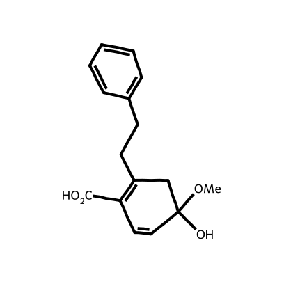 COC1(O)C=CC(C(=O)O)=C(CCc2ccccc2)C1